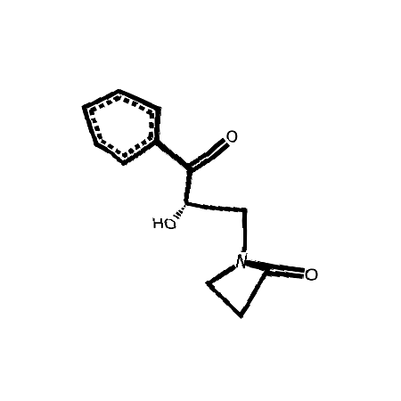 O=C(c1ccccc1)[C@@H](O)CN1CCC1=O